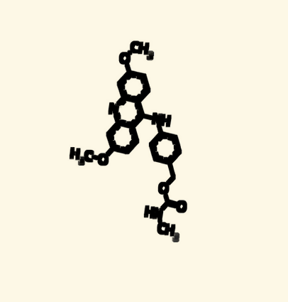 CNC(=O)OCc1ccc(Nc2c3ccc(OC)cc3nc3cc(OC)ccc23)cc1